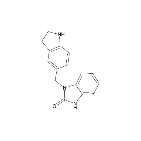 O=c1[nH]c2ccccc2n1Cc1ccc2c(c1)CCN2